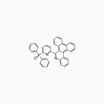 O=P(c1ccccc1)(c1ccccc1)c1cccc(-c2nc3ccccc3c3c4ccccc4c4ccccc4c23)n1